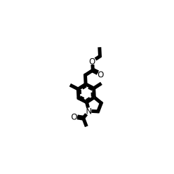 CCOC(=O)Cc1c(C)cc2c(c1C)CCN2C(C)=O